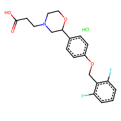 Cl.O=C(O)CCN1CCOC(c2ccc(OCc3c(F)cccc3F)cc2)C1